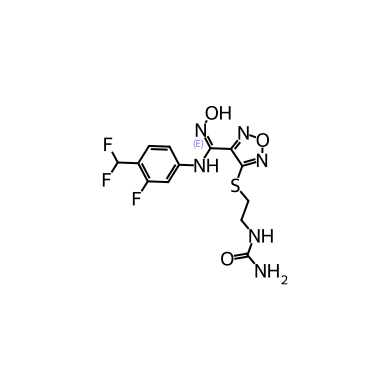 NC(=O)NCCSc1nonc1/C(=N\O)Nc1ccc(C(F)F)c(F)c1